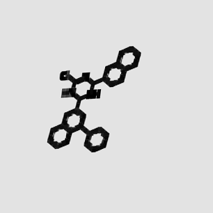 ClC1=NC(c2ccc3ccccc3c2)NC(c2cc(-c3ccccc3)c3ccccc3c2)N1